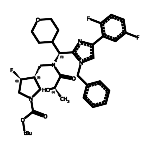 C[C@H](O)C(=O)N(C[C@@H]1CN(C(=O)OC(C)(C)C)C[C@@H]1F)[C@@H](c1nc(-c2cc(F)ccc2F)cn1Cc1ccccc1)C1CCOCC1